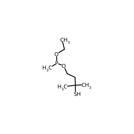 CCOP(C)OCCC(C)(C)S